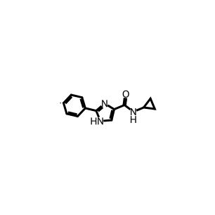 O=C(NC1CC1)c1c[nH]c(-c2cc[c]cc2)n1